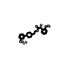 CCOc1ccccc1NC(=O)OCCN1CCN(c2cccc(C(=O)O)c2)CC1